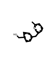 Cc1cccc(Cc2ccc(CO)cc2)n1